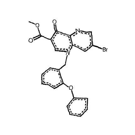 COC(=O)c1cn(Cc2ccccc2Oc2ccccc2)c2cc(Br)cnc2c1=O